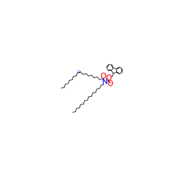 CCCCCCCC/C=C\CCCCCCCC(=O)N(CCCCCCCCCCCCCCCC)C(=O)OCC1c2ccccc2-c2ccccc21